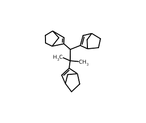 CC(C)([C](C1=CC2CCC1C2)C1=CC2CCC1C2)C1=CC2CCC1C2